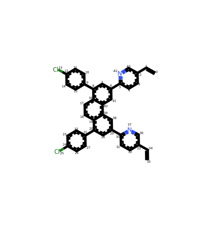 C=Cc1ccc(-c2cc(-c3ccc(Cl)cc3)c3ccc4c(-c5ccc(Cl)cc5)cc(-c5ccc(C=C)cn5)cc4c3c2)nc1